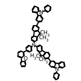 CC1(C)c2cc(-c3ccc4c(c3)c3ccccc3n4-c3ccccc3)ccc2-c2ccc(N(c3ccc(-c4cccc5c4oc4ccccc45)cc3)c3ccc4c(c3)C(C)(C)c3cc(-c5ccc6c(c5)c5ccccc5n6-c5ccccc5)ccc3-4)cc21